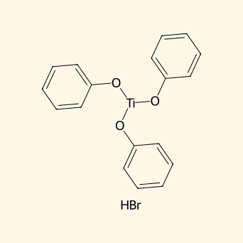 Br.c1ccc([O][Ti]([O]c2ccccc2)[O]c2ccccc2)cc1